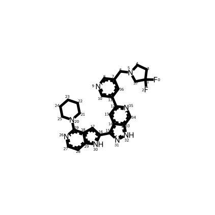 FC1(F)CCN(Cc2cncc(-c3cc4c(-c5cc6c(N7CCCCC7)nccc6[nH]5)n[nH]c4cn3)c2)C1